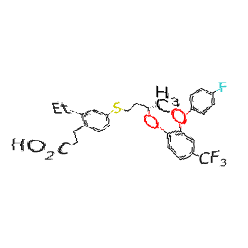 CCc1cc(SCC[C@H](C)Oc2ccc(C(F)(F)F)cc2Oc2ccc(F)cc2)ccc1CCC(=O)O